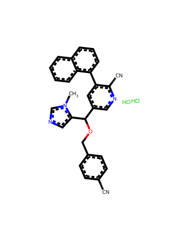 Cl.Cl.Cn1cncc1C(OCc1ccc(C#N)cc1)c1cnc(C#N)c(-c2cccc3ccccc23)c1